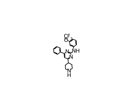 FC(F)(F)Oc1cccc(Nc2nc(-c3ccccc3)cc(C3CCNCC3)n2)c1